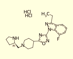 CCc1nn(-c2noc(C3CCN(C[C@H]4CCCN4)CC3)n2)c2c(F)cccc12.Cl.Cl